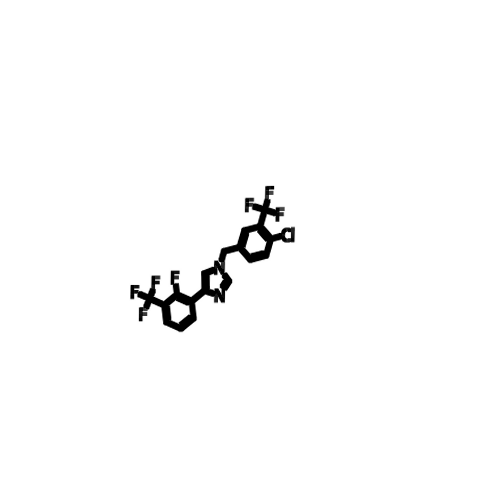 Fc1c(-c2cn(Cc3ccc(Cl)c(C(F)(F)F)c3)cn2)cccc1C(F)(F)F